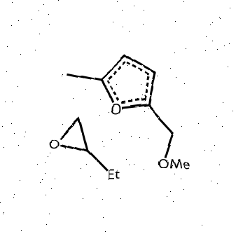 CCC1CO1.COCc1ccc(C)o1